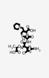 C[C@H](O/N=C(\C(=O)N[C@@H]1C(=O)N2C(C(=O)O)=C(CN3CCCCC3)CS[C@H]12)c1nc(N)sc1Cl)C(=O)O